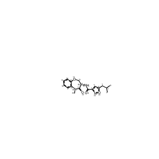 CC(C)Cc1cc(C(=O)N[C@@H]2COc3ccccc3N(C)C2=O)no1